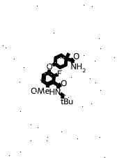 COc1ccc(OC2CCC(C)(C(N)=O)CC2)c(F)c1C(=O)N[CH]C(C)(C)C